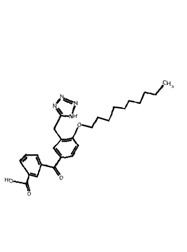 CCCCCCCCCCOc1ccc(C(=O)c2cccc(C(=O)O)c2)cc1Cc1nnn[nH]1